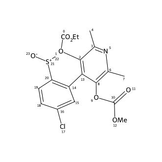 CCOC(=O)Oc1c(C)nc(C)c(OC(=O)OC)c1-c1cc(Cl)ccc1[S+](C)[O-]